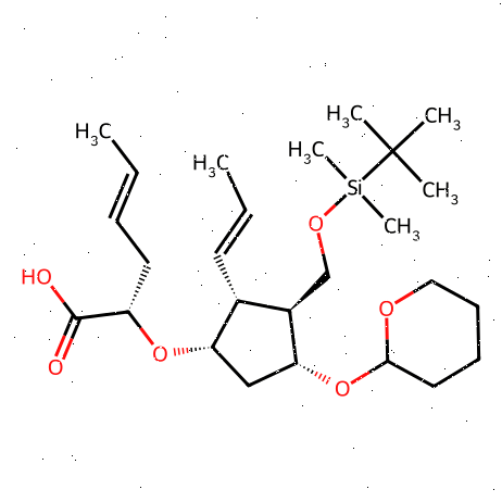 CC=CC[C@H](O[C@H]1C[C@@H](OC2CCCCO2)[C@H](CO[Si](C)(C)C(C)(C)C)[C@H]1C=CC)C(=O)O